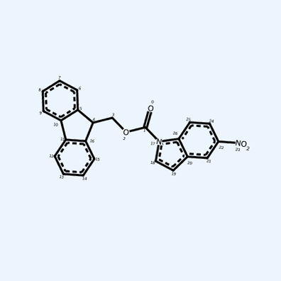 O=C(OCC1c2ccccc2-c2ccccc21)n1ccc2cc([N+](=O)[O-])ccc21